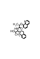 CC(O)C(NC(=O)[C@@H](C)Oc1cccc2cccnc12)N1CCc2ccccc2C1